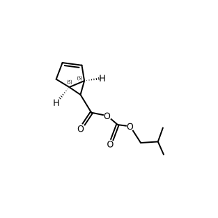 CC(C)COC(=O)OC(=O)C1[C@H]2CC=C[C@@H]12